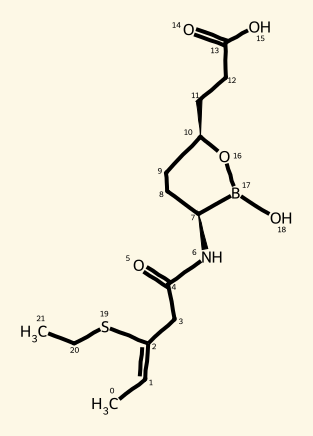 C/C=C(/CC(=O)N[C@H]1CC[C@@H](CCC(=O)O)OB1O)SCC